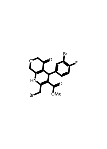 COC(=O)C1=C(CBr)NC2=C(C(=O)COC2)C1c1ccc(F)c(Br)c1